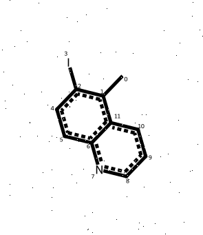 Cc1c(I)ccc2ncccc12